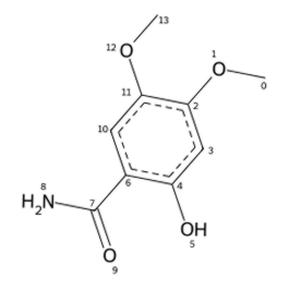 COc1cc(O)c(C(N)=O)cc1OC